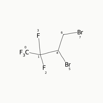 FC(F)(F)C(F)(F)C(Br)CBr